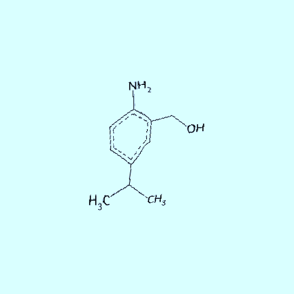 CC(C)c1ccc(N)c(CO)c1